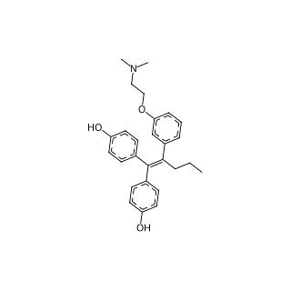 CCCC(=C(c1ccc(O)cc1)c1ccc(O)cc1)c1cccc(OCCN(C)C)c1